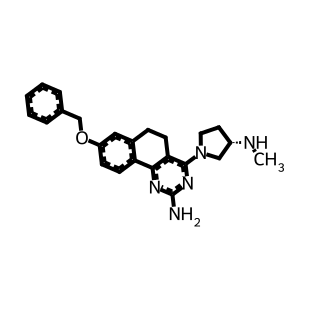 CN[C@H]1CCN(c2nc(N)nc3c2CCc2cc(OCc4ccccc4)ccc2-3)C1